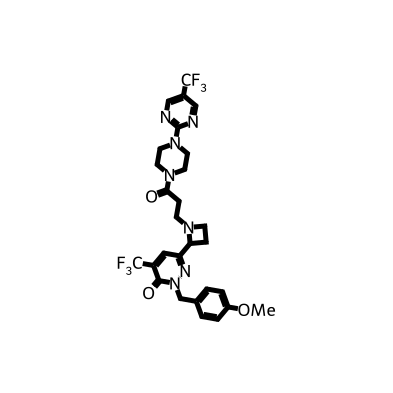 COc1ccc(Cn2nc(C3CCN3CCC(=O)N3CCN(c4ncc(C(F)(F)F)cn4)CC3)cc(C(F)(F)F)c2=O)cc1